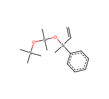 C=C[Si](C)(O[Si](C)(C)O[Si](C)(C)C)c1ccccc1